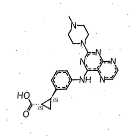 CN1CCN(c2nc(Nc3cccc([C@H]4C[C@@H]4C(=O)O)c3)c3nccnc3n2)CC1